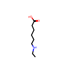 CCNCCCCCC(=O)O